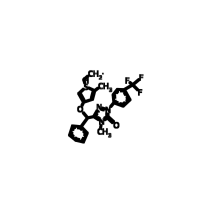 [CH2]C[SH]1C=C(OC(c2ccccc2)c2nn(-c3ccc(C(F)(F)F)cc3)c(=O)n2C)C=C1C